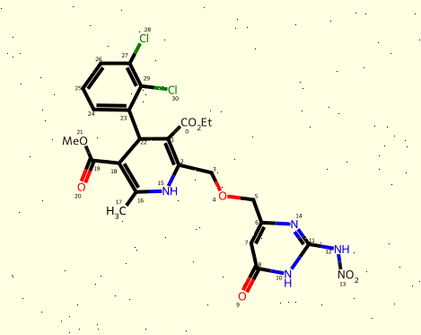 CCOC(=O)C1=C(COCc2cc(=O)[nH]c(N[N+](=O)[O-])n2)NC(C)=C(C(=O)OC)C1c1cccc(Cl)c1Cl